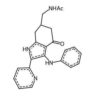 CC(=O)NCC1CC(=O)c2c([nH]c(-c3ccccn3)c2Nc2ccccc2)C1